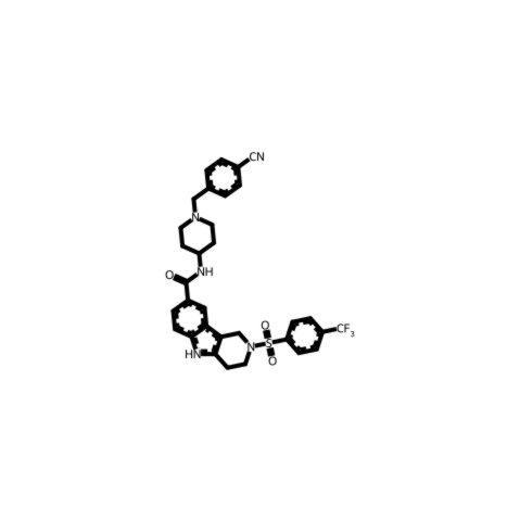 N#Cc1ccc(CN2CCC(NC(=O)c3ccc4[nH]c5c(c4c3)CN(S(=O)(=O)c3ccc(C(F)(F)F)cc3)CC5)CC2)cc1